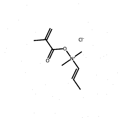 C=C(C)C(=O)O[N+](C)(C)C=CC.[Cl-]